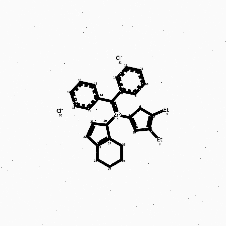 CCC1=C(CC)C[C]([Zr+2](=[C](c2ccccc2)c2ccccc2)[CH]2C=CC3=C2CCCC3)=C1.[Cl-].[Cl-]